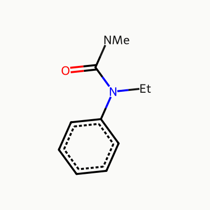 CCN(C(=O)NC)c1ccccc1